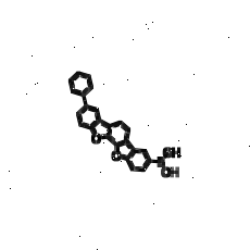 OB(O)c1ccc2oc3c(ccc4c5cc(-c6ccccc6)ccc5oc43)c2c1